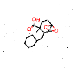 CC1(C(=O)O)CCC23OC2(O3)C1CC1CCCCC1